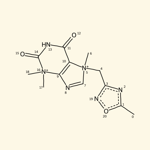 Cc1nc(C[N+]2(C)C=NC3=C2C(=O)NC(=O)[N+]3(C)C)no1